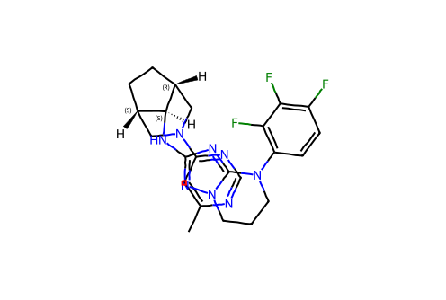 Cc1cc(N2C[C@H]3CC[C@@H](C2)[C@@H]3Nc2nc3n(n2)CCCN3c2ccc(F)c(F)c2F)ncn1